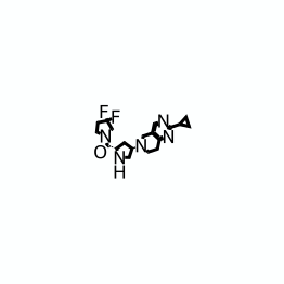 O=C([C@@H]1C[C@H](N2CCc3nc(C4CC4)ncc3C2)CN1)N1CCC(F)(F)C1